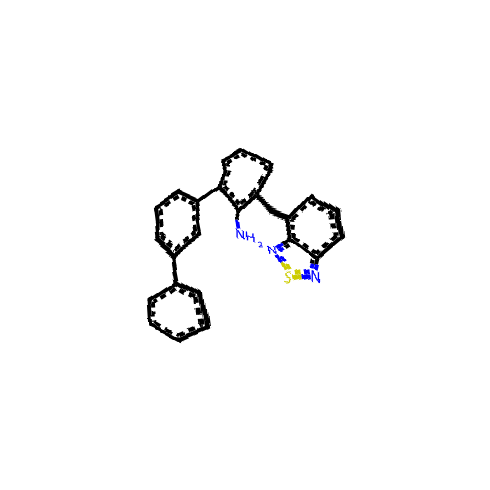 Nc1c(-c2cccc(-c3ccccc3)c2)cccc1-c1cccc2nsnc12